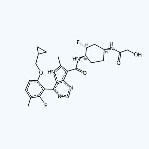 Cc1ccc(OCC2CC2)c(-c2ncnc3c(C(=O)N[C@@H]4CC[C@H](NC(=O)CO)C[C@H]4F)c(C)[nH]c23)c1F